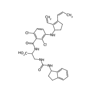 C=CC1=C(/C=C\C)CCC1Nc1ccc(Cl)c(C(=O)NC(CNC(=O)NC2CCc3ccccc32)C(=O)O)c1Cl